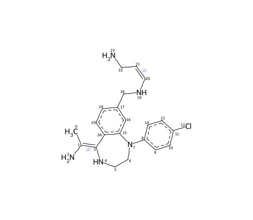 C/C(N)=C1/NCCN(c2ccc(Cl)cc2)c2cc(CN/C=C\CN)ccc21